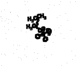 CC(C)=CCC[C@@H](C)CCOC(=O)[C@@H]1C(C2SCCCS2)=C(c2ccccc2)[C@H]1c1ccccc1